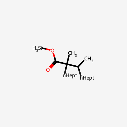 CCCCCCCC(C)C(C)(CCCCCCC)C(=O)O[SiH3]